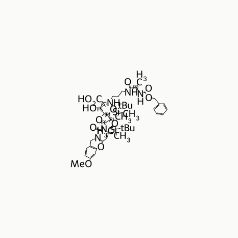 COc1ccc(Cn2c(=O)ccn([C@@H]3OC([C@H](O)[C@H](NCCCNC(=O)[C@H](C)NC(=O)OCc4ccccc4)C(=O)O)[C@@H](O[Si](C)(C)C(C)(C)C)[C@H]3O[Si](C)(C)C(C)(C)C)c2=O)cc1